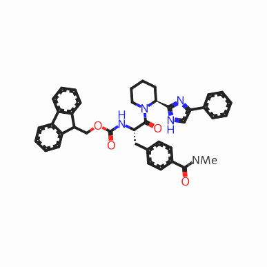 CNC(=O)c1ccc(C[C@H](NC(=O)OCC2c3ccccc3-c3ccccc32)C(=O)N2CCCC[C@H]2c2nc(-c3ccccc3)c[nH]2)cc1